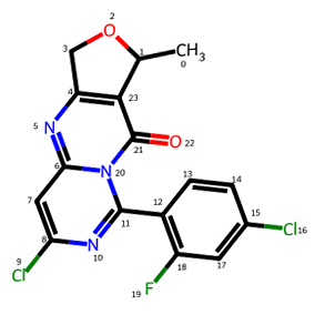 CC1OCc2nc3cc(Cl)nc(-c4ccc(Cl)cc4F)n3c(=O)c21